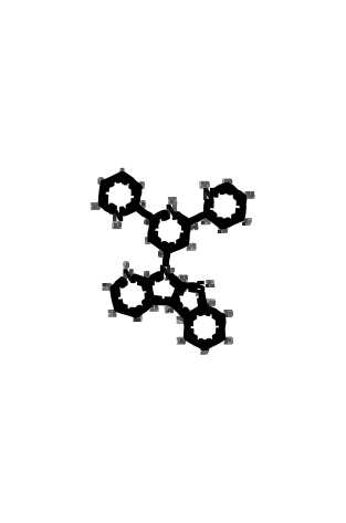 c1ccc(-c2cc(-n3c4ncccc4c4c5ccccc5sc43)cc(-c3ccccn3)n2)nc1